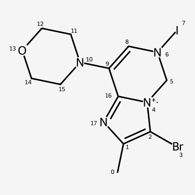 CC1=C(Br)[N+]2CN(I)C=C(N3CCOCC3)C2=N1